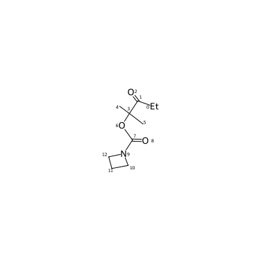 CCC(=O)C(C)(C)OC(=O)N1CCC1